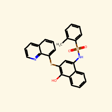 Cc1ccccc1S(=O)(=O)Nc1cc(Sc2cccc3cccnc23)c(O)c2ccccc12